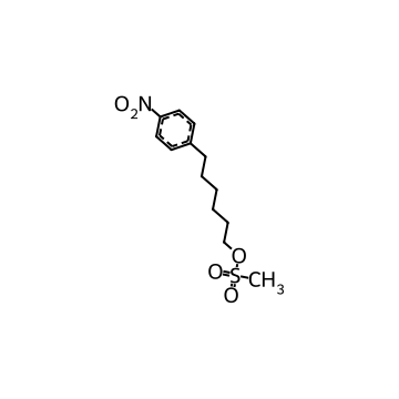 CS(=O)(=O)OCCCCCCc1ccc([N+](=O)[O-])cc1